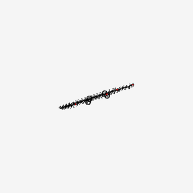 CCCCCCCCCCCCCCCCCC(=O)OCCCCCCCCCOC(=O)CCCCCCCCCCCCCCCCC